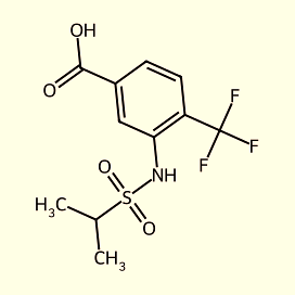 CC(C)S(=O)(=O)Nc1cc(C(=O)O)ccc1C(F)(F)F